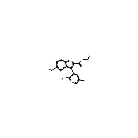 CCOC(=O)c1[nH]c2ccc(CC)cc2c1-c1cc(Cl)cnc1OC